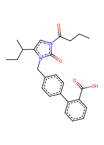 CCCC(=O)n1cc(C(C)CC)n(Cc2ccc(-c3ccccc3C(=O)O)cc2)c1=O